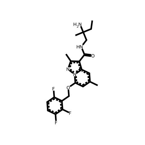 CCC(C)(N)CNC(=O)c1c(C)nn2c(OCc3c(F)ccc(F)c3F)cc(C)cc12